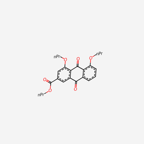 CCCOC(=O)c1cc(OCCC)c2c(c1)C(=O)c1cccc(OCCC)c1C2=O